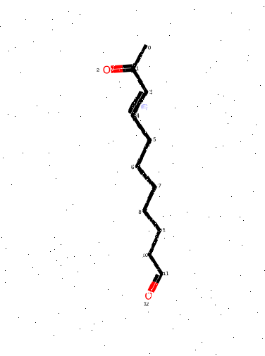 CC(=O)/C=C/CCCCCCC=O